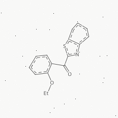 CCOc1ccccc1C(=O)c1nc2ccccc2s1